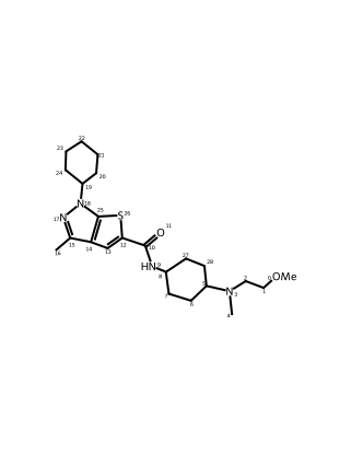 COCCN(C)C1CCC(NC(=O)c2cc3c(C)nn(C4CCCCC4)c3s2)CC1